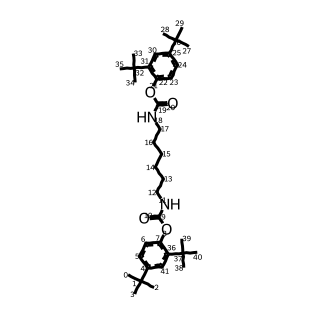 CC(C)(C)c1ccc(OC(=O)NCCCCCCNC(=O)Oc2ccc(C(C)(C)C)cc2C(C)(C)C)c(C(C)(C)C)c1